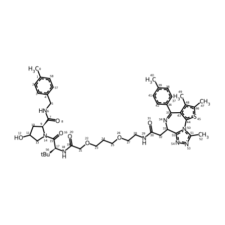 Cc1ccc(CNC(=O)[C@@H]2CC(O)CN2C(=O)[C@@H](NC(=O)COCCCOCCNC(=O)CC2N=C(c3ccc(C)cc3)c3c(sc(C)c3C)-n3c(C)nnc32)C(C)(C)C)cc1